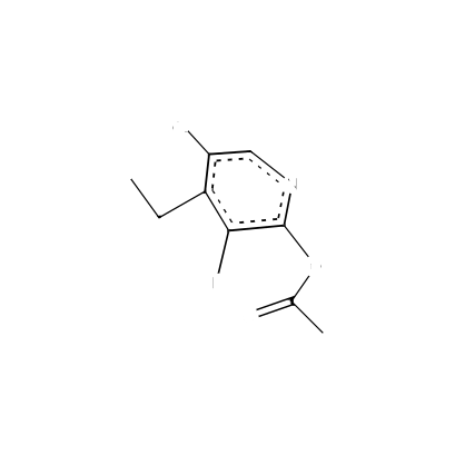 CCc1c(Cl)cnc(OC(C)=O)c1F